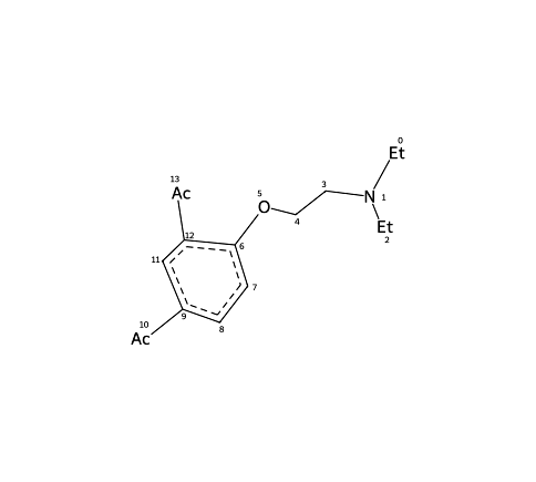 CCN(CC)CCOc1ccc(C(C)=O)cc1C(C)=O